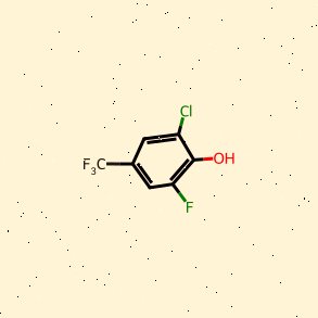 Oc1c(F)cc(C(F)(F)F)cc1Cl